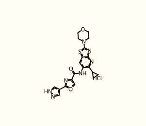 Cl.O=C(Nc1cc2sc(N3CCOCC3)nc2nc1C1CC1)c1coc(-c2cn[nH]c2)n1